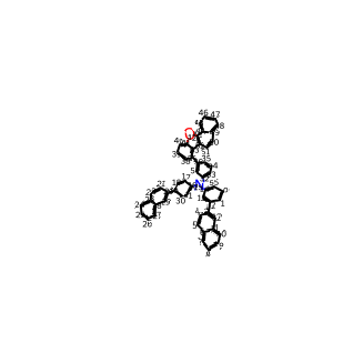 c1cc(-c2ccc3ccccc3c2)cc(N(c2ccc(-c3ccc4ccccc4c3)cc2)c2cccc(-c3cccc4oc5c6ccccc6ccc5c34)c2)c1